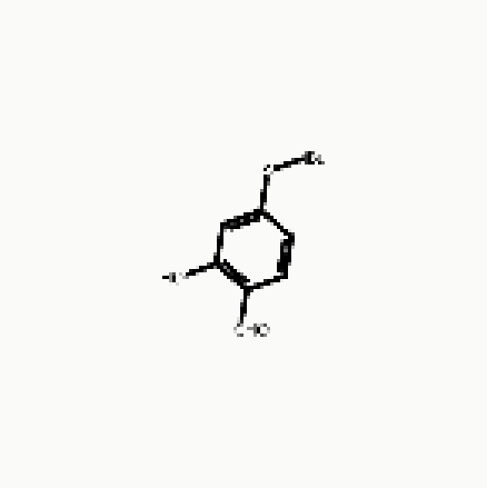 CCC(C)Sc1ccc(C=O)c(O)c1